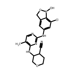 Cc1cnc(Nc2cc(Cl)c3c(c2)COB3O)nc1NC1COCCC1C#N